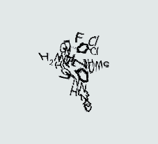 C=CC(=O)Nc1cc(NC(=N)/C=C(\NN)N2OCC[C@@H]2c2ccc(Cl)c(Cl)c2F)c(OC)cc1N1CCN(C2COC2)CC1